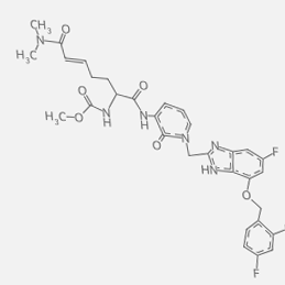 COC(=O)NC(CCC=CC(=O)N(C)C)C(=O)Nc1cccn(Cc2nc3cc(F)cc(OCc4ccc(F)cc4F)c3[nH]2)c1=O